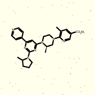 CCOC(=O)c1cnc(N2CCN(c3cc(-c4ccncc4)nc(N4CCCC4C)n3)[C@H](C)C2)c(C)c1